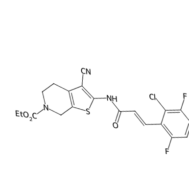 CCOC(=O)N1CCc2c(sc(NC(=O)/C=C/c3c(F)ccc(F)c3Cl)c2C#N)C1